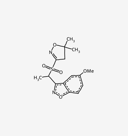 COc1ccc2onc(C(C)S(=O)(=O)C3=NOC(C)(C)C3)c2c1